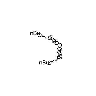 CCCCOCCCCc1csc(-c2cc3cc4c(ccc5cc6sc(-c7cc(CCCCOCCCC)cs7)cc6cc54)cc3s2)c1